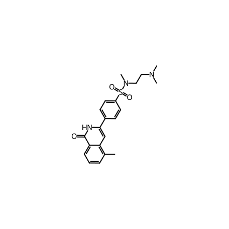 Cc1cccc2c(=O)[nH]c(-c3ccc(S(=O)(=O)N(C)CCN(C)C)cc3)cc12